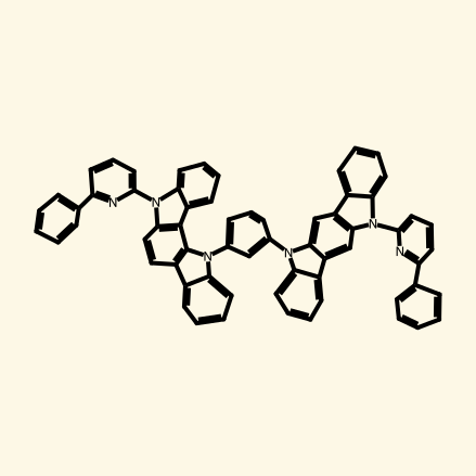 c1ccc(-c2cccc(-n3c4ccccc4c4cc5c(cc43)c3ccccc3n5-c3cccc(-n4c5ccccc5c5ccc6c(c7ccccc7n6-c6cccc(-c7ccccc7)n6)c54)c3)n2)cc1